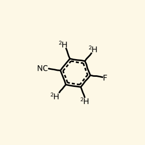 [2H]c1c([2H])c(C#N)c([2H])c([2H])c1F